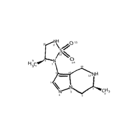 C[C@H]1Cn2ncc(N3[C@@H](C)CNS3(=O)=O)c2CN1